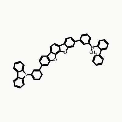 CN(c1cccc(-c2ccc3c(c2)oc2c3ccc3c4ccc(C5=CC(n6c7ccccc7c7ccccc76)=CCC5)cc4oc32)c1)c1ccccc1-c1ccccc1